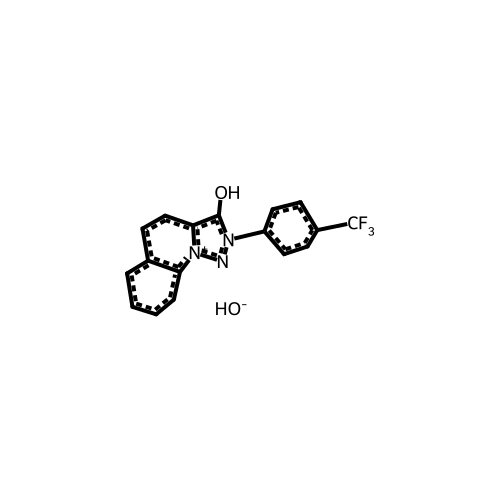 Oc1c2ccc3ccccc3[n+]2nn1-c1ccc(C(F)(F)F)cc1.[OH-]